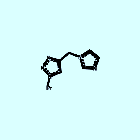 CC(C)n1cc(Cn2ccnc2)nn1